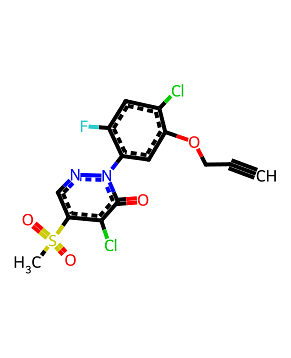 C#CCOc1cc(-n2ncc(S(C)(=O)=O)c(Cl)c2=O)c(F)cc1Cl